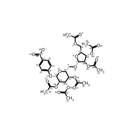 CC(=O)OC[C@@H]1O[C@@H](OC[C@H]2O[C@@H](Oc3ccc([N+](=O)[O-])cc3)[C@H](OC(C)=O)[C@@H](OC(C)=O)[C@@H]2OC(C)=O)[C@H](OC(C)=O)[C@H]1OC(C)=O